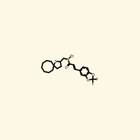 CCN(CC1CCC2(CCCCCCC2)S1)C(=O)/C=C/c1ccc2c(c1)OC(F)(F)O2